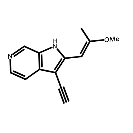 C#Cc1c(/C=C(\C)OC)[nH]c2cnccc12